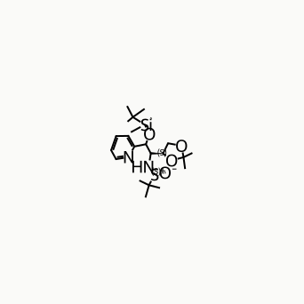 CC1(C)OC[C@H](C(N[S@+]([O-])C(C)(C)C)C(O[Si](C)(C)C(C)(C)C)c2ccccn2)O1